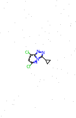 Clc1cc(Cl)c2nnc(C3CC3)n2n1